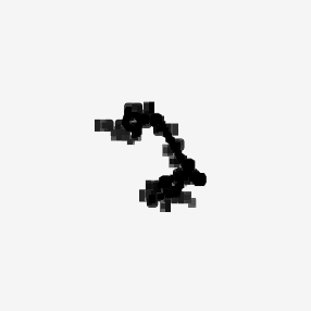 CCC(=O)NCCNC(=O)/N=C(/N)NCCC[C@@H](NC(=O)[C@H](c1cccc(NCCCNC(=O)CCCCCNC(=O)CN2CCC(NC(=O)CN3CCN(CC(=O)O)CCN(CC(=O)O)CCN(CC(=O)O)CC3)CC2)c1)N1Cc2ccccc2C1)C(=O)NCc1ccc(O)cc1